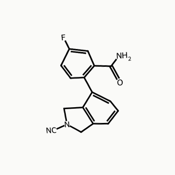 N#CN1Cc2cccc(-c3ccc(F)cc3C(N)=O)c2C1